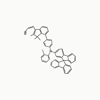 C#C/C=C\C1=C(C)C(C)(C)c2c1cccc2-c1ccc(N(c2ccc3c(c2)C2(c4ccccc4-c4ccccc42)c2ccccc2-3)c2ccccc2C)cc1